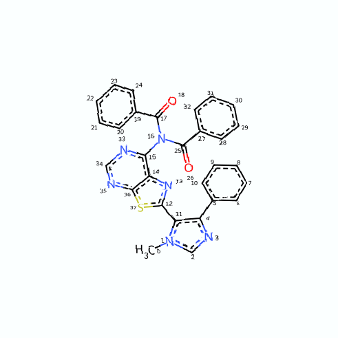 Cn1cnc(-c2ccccc2)c1-c1nc2c(N(C(=O)c3ccccc3)C(=O)c3ccccc3)ncnc2s1